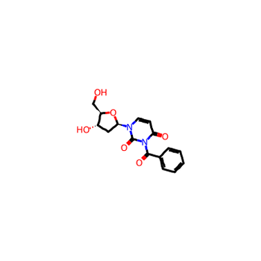 O=C(c1ccccc1)n1c(=O)ccn([C@H]2C[C@H](O)[C@@H](CO)O2)c1=O